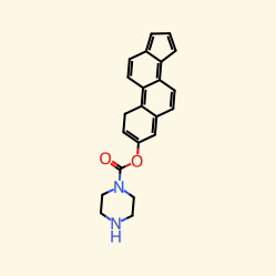 O=C(OC1=CCc2c(ccc3c4c(ccc23)=CC=C4)=C1)N1CCNCC1